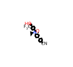 C[C@H]1C[C@H](C2C=CC(C#N)=CC2)CC[C@H]1N(C(=O)c1ccc([C@](C)(O)C(F)(F)F)cc1)C1CC1